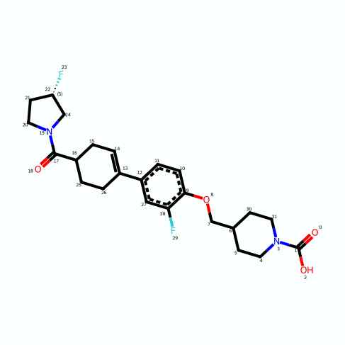 O=C(O)N1CCC(COc2ccc(C3=CCC(C(=O)N4CC[C@H](F)C4)CC3)cc2F)CC1